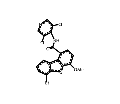 CCc1cccc2c1sc1c(OC)ccc(C(=O)Nc3c(Cl)cncc3Cl)c12